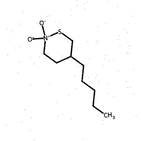 CCCCCC1CC[N+]([O-])([O-])SC1